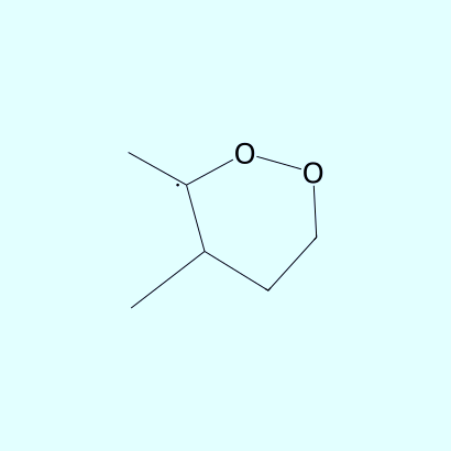 C[C]1OOCCC1C